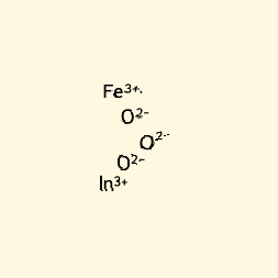 [Fe+3].[In+3].[O-2].[O-2].[O-2]